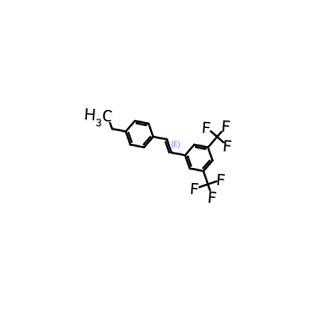 CCc1ccc(/C=C/c2cc(C(F)(F)F)cc(C(F)(F)F)c2)cc1